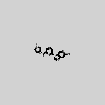 Clc1cc2ncn(-c3cncc(N[C@@H]4CCNC4)n3)c2cn1